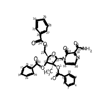 C[C@]1(OC(=O)c2ccccc2)C(OC(=O)c2ccccc2)[C@@H](COC(=O)c2ccccc2)O[C@H]1n1ccnc(C(N)=O)c1=O